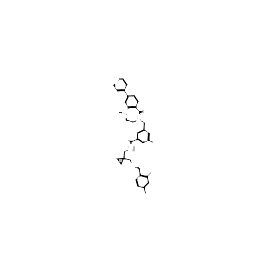 Cc1ccc(C(=O)OCC2(CNC(=O)c3cc(F)cc(CN4C(=O)c5ccc(-c6ccncc6)cc5N(C)C(=O)[C@H]4C)c3)CC2)c(C)c1